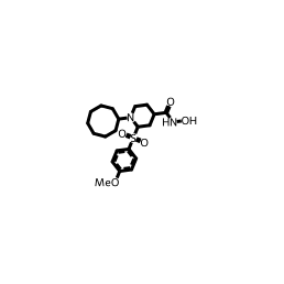 COc1ccc(S(=O)(=O)C2CC(C(=O)NO)CCN2C2CCCCCCC2)cc1